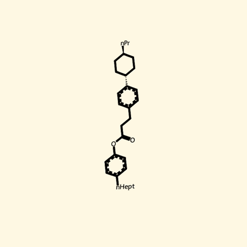 CCCCCCCc1ccc(OC(=O)CCc2ccc([C@H]3CC[C@H](CCC)CC3)cc2)cc1